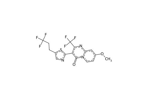 COc1ccn2c(=O)c(-c3ncc(CCC(F)(F)F)s3)c(C(F)(F)F)nc2c1